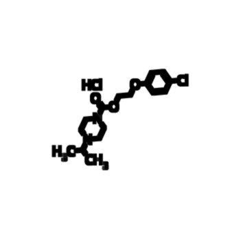 CC(C)N1CCN(C(=O)OCCOc2ccc(Cl)cc2)CC1.Cl